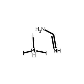 N=CN.[I][PbH]([I])[I]